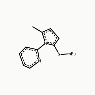 CCCCSc1ccc(C)n1-c1ccccn1